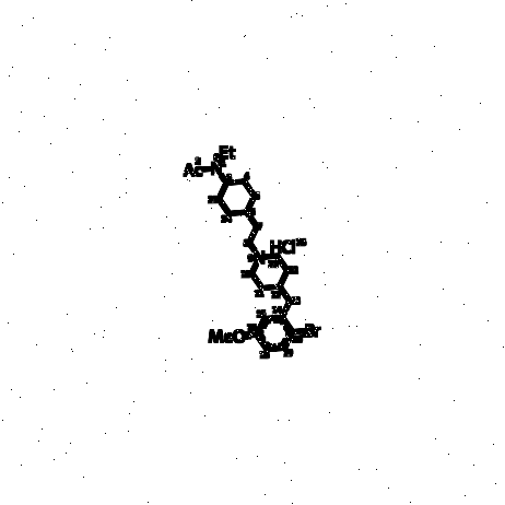 CCN(C(C)=O)C1CCC(CCN2CCC(Cc3cc(OC)ccc3Br)CC2)CC1.Cl